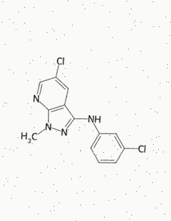 Cn1nc(Nc2cccc(Cl)c2)c2cc(Cl)cnc21